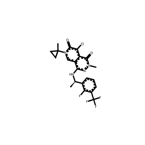 C[C@@H](Nc1nn(C)c(=O)c2c(Cl)c(=O)n(C3(C)CC3)cc12)c1cccc(C(F)(F)F)c1F